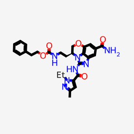 CCn1nc(C)cc1C(=O)Nc1nc2cc(C(N)=O)cc3c2n1[C@@H](CCNC(=O)OCCc1ccccc1)CO3